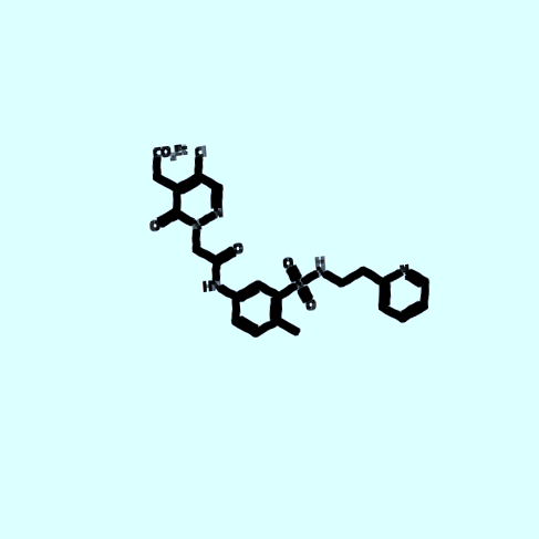 CCOC(=O)Cc1c(Cl)cnn(CC(=O)Nc2ccc(C)c(S(=O)(=O)NCCc3ccccn3)c2)c1=O